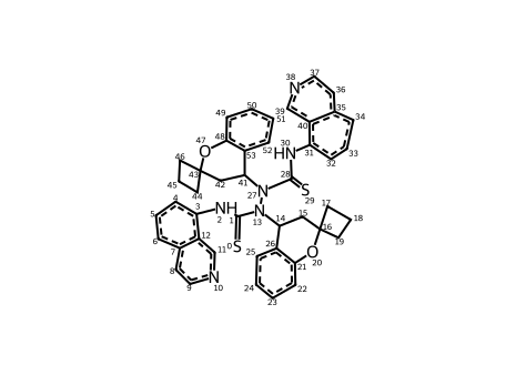 S=C(Nc1cccc2ccncc12)N(C1CC2(CCC2)Oc2ccccc21)N(C(=S)Nc1cccc2ccncc12)C1CC2(CCC2)Oc2ccccc21